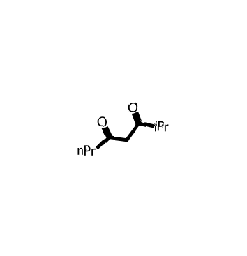 CCCC(=O)CC(=O)C(C)C